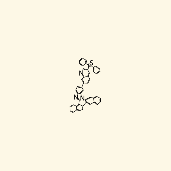 S=P(c1ccccc1)(c1ccccc1)c1cnc2cc(-c3ccc4nc5c6c7ccccc7ccc6c6cc7ccccc7cc6n5c4c3)ccc2c1